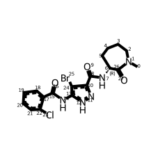 CN1CCCC[C@@H](NC(=O)c2n[nH]c(NC(=O)c3ccccc3Cl)c2Br)C1=O